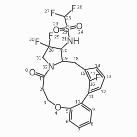 O=C1CCOc2ccccc2-c2cccc(c2F)CC2C(NS(=O)(=O)C(F)F)C(F)(F)CN12